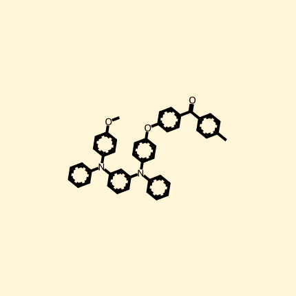 COc1ccc(N(c2ccccc2)c2cccc(N(c3ccccc3)c3ccc(Oc4ccc(C(=O)c5ccc(C)cc5)cc4)cc3)c2)cc1